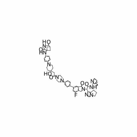 O=C1NC(=O)C2(Nc3ccc(N4CCC(O)(CC(=O)N5CCN(c6ccc(-c7cc(F)c8c(c7)C(=O)N(C(C(=O)Nc7nccs7)c7ncn9c7CCC9)C8)cc6)CC5)CC4)cc3)CC1C2